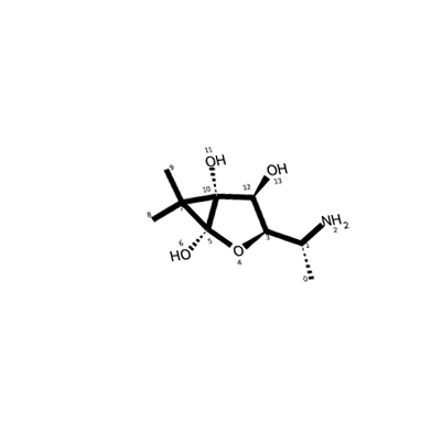 C[C@@H](N)[C@H]1O[C@@]2(O)C(C)(C)[C@@]2(O)[C@H]1O